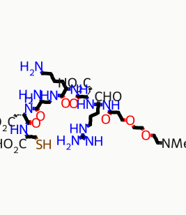 CNCCOCCOCCC(=O)NC(C=O)(CCCNC(=N)N)N[C@@H](CC(=O)O)C(=O)NC(CCCCN)C(=O)NC[C@H](N)C(=O)N[C@@H](CC(=O)O)C(=O)N[C@@H](CS)C(=O)O